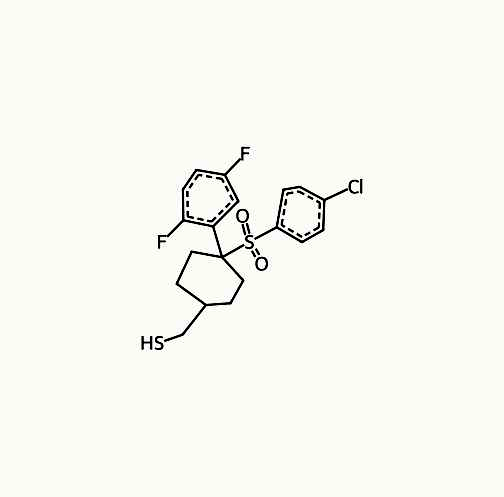 O=S(=O)(c1ccc(Cl)cc1)C1(c2cc(F)ccc2F)CCC(CS)CC1